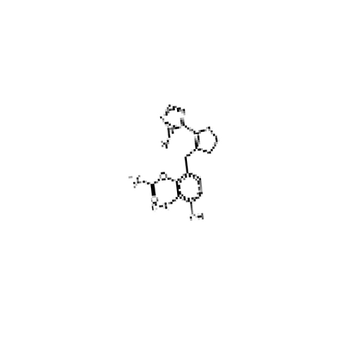 CC(C)n1nccc1C1=C(Cc2ccc(O)c(C=O)c2OC(=O)C(F)(F)F)CCC1